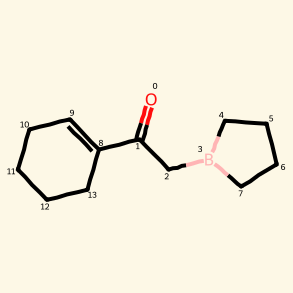 O=C(CB1CCCC1)C1=CCCCC1